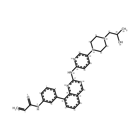 C=CC(=O)Nc1cccc(-c2cccc3cnc(Nc4ccc(N5CCN(CC(C)O)CC5)cn4)nc23)c1